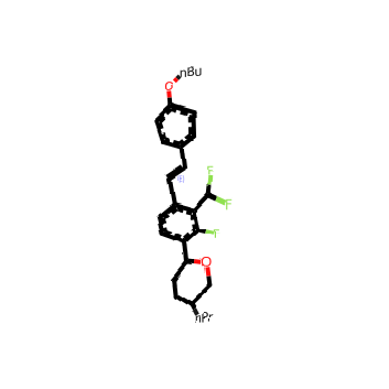 CCCCOc1ccc(/C=C/c2ccc(C3CCC(CCC)CO3)c(F)c2C(F)F)cc1